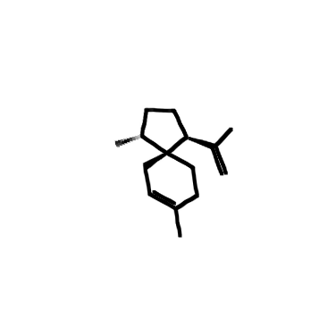 C=C(C)[C@@H]1CC[C@@H](C)[C@]12CC=C(C)CC2